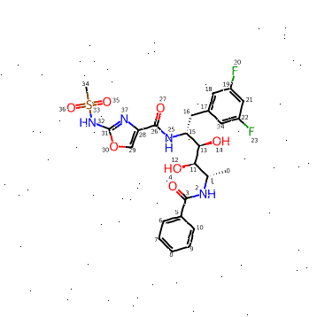 C[C@H](NC(=O)c1ccccc1)[C@@H](O)[C@H](O)[C@@H](Cc1cc(F)cc(F)c1)NC(=O)c1coc(NS(C)(=O)=O)n1